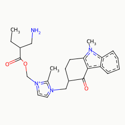 CCC(CN)C(=O)OC[n+]1ccn(CC2CCc3c(c4ccccc4n3C)C2=O)c1C